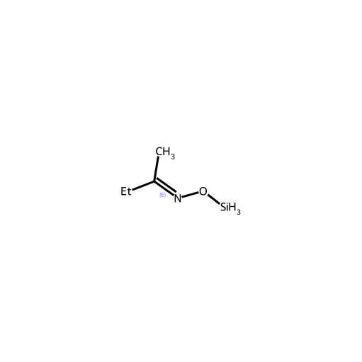 CC/C(C)=N/O[SiH3]